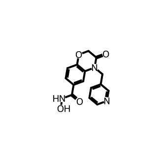 O=C(NO)c1ccc2c(c1)N(Cc1cccnc1)C(=O)CO2